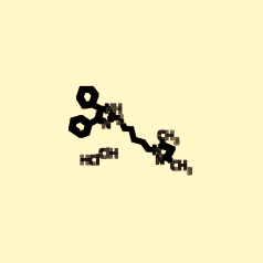 Cc1cc(C)n(CCCCCSc2nc(-c3ccccc3)c(-c3ccccc3)[nH]2)n1.Cl.Cl